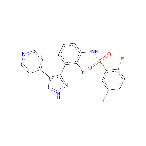 O=S(=O)(Nc1cccc(-c2n[nH]cc2-c2ccncc2)c1F)c1cc(F)ccc1F